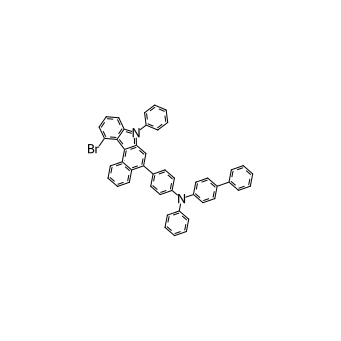 Brc1cccc2c1c1c3ccccc3c(-c3ccc(N(c4ccccc4)c4ccc(-c5ccccc5)cc4)cc3)cc1n2-c1ccccc1